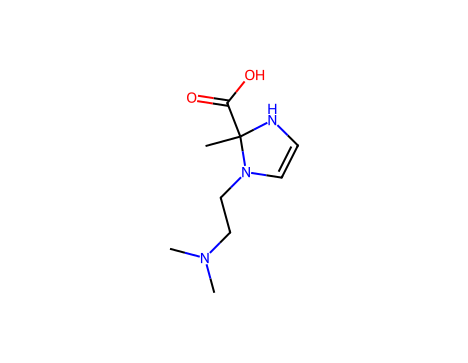 CN(C)CCN1C=CNC1(C)C(=O)O